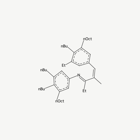 CCCCCCCCc1cc(C=C(C)C(CC)=Nc2cc(CCCC)c(CCCC)c(CCCCCCCC)c2)cc(CC)c1CCCC